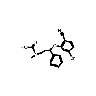 CN(CCC(Oc1cc(Br)ccc1C#N)c1ccccc1)C(=O)O